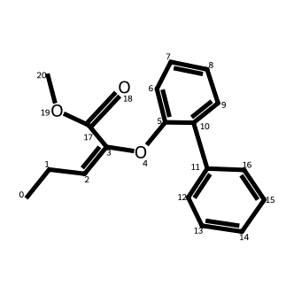 CCC=C(Oc1ccccc1-c1ccccc1)C(=O)OC